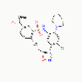 CCc1ccc(C(=O)OC)cc1S(=O)(=O)Nc1cc(-c2cnoc2C)c(Cl)cc1N1CCCCC1